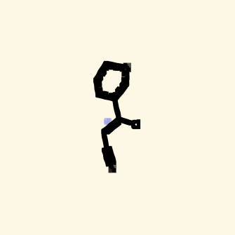 N#C/C=C(\Cl)c1cccnc1